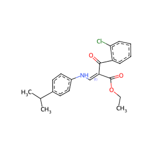 CCOC(=O)/C(=C/Nc1ccc(C(C)C)cc1)C(=O)c1ccccc1Cl